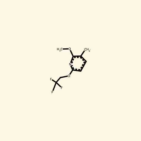 [CH2]c1ccc(OCC(F)(F)F)nc1OC